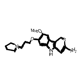 COc1cc2c(cc1OCCCN1CCCC1)[nH]c1cc(N)ncc12